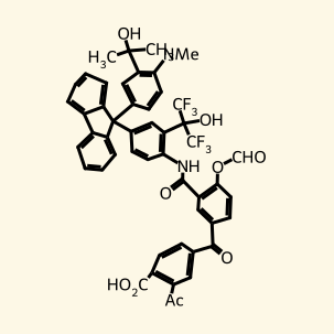 CNc1ccc(C2(c3ccc(NC(=O)c4cc(C(=O)c5ccc(C(=O)O)c(C(C)=O)c5)ccc4OC=O)c(C(O)(C(F)(F)F)C(F)(F)F)c3)c3ccccc3-c3ccccc32)cc1C(C)(C)O